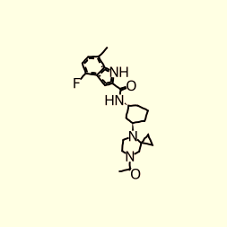 CC(=O)N1CCN([C@@H]2CCC[C@@H](NC(=O)c3cc4c(F)ccc(C)c4[nH]3)C2)C2(CC2)C1